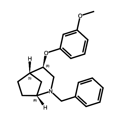 COc1cccc(O[C@H]2CN(Cc3ccccc3)[C@@H]3CC[C@H]2C3)c1